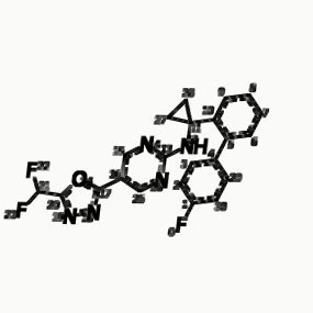 Fc1ccc(-c2ccccc2C2(Nc3ncc(-c4nnc(C(F)F)o4)cn3)CC2)cc1